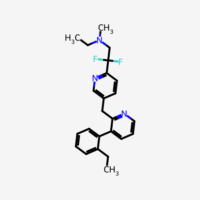 CCc1ccccc1-c1cccnc1Cc1ccc(C(F)(F)CN(C)CC)nc1